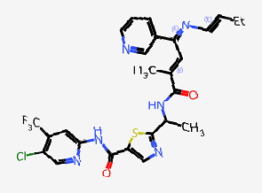 CC/C=C/N=C(\C=C(/C)C(=O)NC(C)c1ncc(C(=O)Nc2cc(C(F)(F)F)c(Cl)cn2)s1)c1cccnc1